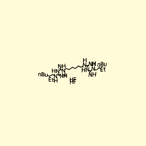 CCCCC(CC)CNC(=N)NC(=N)NCCCCCCNC(=N)NC(=N)NCC(CC)CCCC.F.F